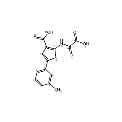 Cc1cccc(-c2cc(C(=O)O)c(NC(=O)C(=O)O)s2)c1